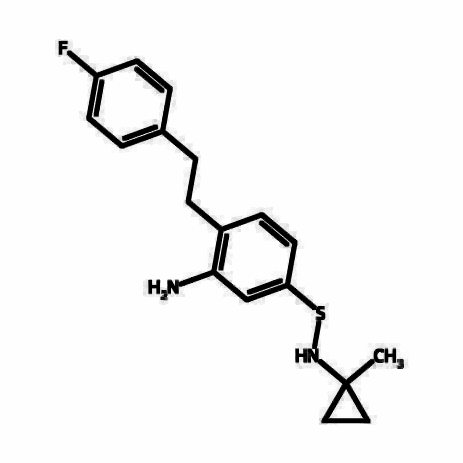 CC1(NSc2ccc(CCc3ccc(F)cc3)c(N)c2)CC1